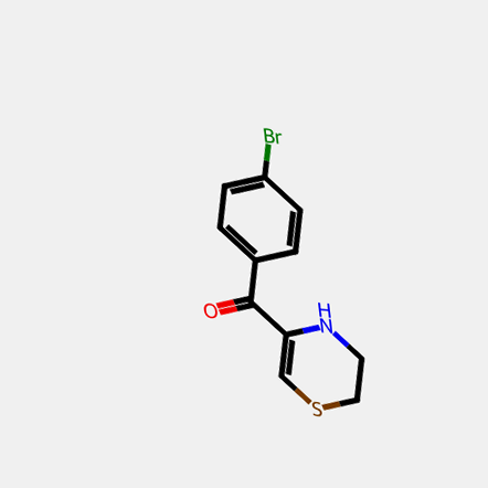 O=C(C1=CSCCN1)c1ccc(Br)cc1